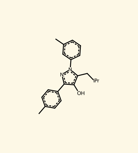 Cc1ccc(-c2nn(-c3cccc(C)c3)c(CC(C)C)c2O)cc1